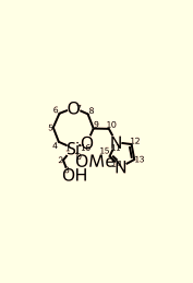 CO[Si]1(CO)CCCOCC(Cn2ccnc2)O1